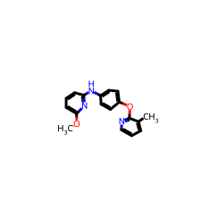 COc1cccc(Nc2ccc(Oc3ncccc3C)cc2)n1